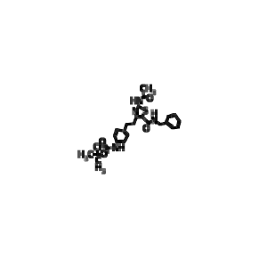 CC(=O)Nc1nc(CCc2ccc(NC(=O)OC(C)(C)C)cc2)c(C(=O)NCc2ccccc2)s1